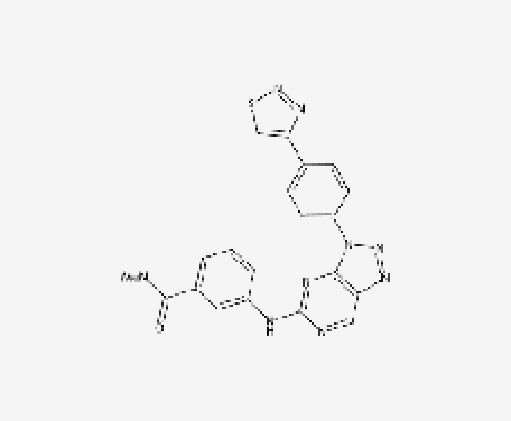 CNC(=O)c1cccc(Nc2ncc3nnn(-c4ccc(-c5csnn5)cc4)c3n2)c1